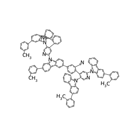 Cc1cccc(-c2ccc3c4cc(-c5ccc(-c6cc(-n7c8ccccc8c8cc(-c9ccccc9C)ccc87)ncc6-n6c7ccccc7c7cc(-c8ccccc8C)ccc76)c(C#N)c5)ccc4n(-c4cc(-c5ccccc5C#N)c(-n5c6ccccc6c6ccc(-c7cccc(C)c7)cc65)cn4)c3c2)c1